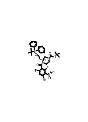 CC(C)(C)OC(=O)N1CCN(C(=O)c2c(F)cc(Br)c([N+](=O)[O-])c2F)[C@H](CCO[Si](c2ccccc2)(c2ccccc2)C(C)(C)C)C1